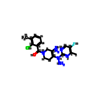 Cc1nc(N(N)C2=C(N)CN(C(=O)c3cccc(C(F)(F)F)c3Cl)CC2)ncc1F